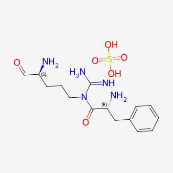 N=C(N)N(CCC[C@H](N)C=O)C(=O)[C@H](N)Cc1ccccc1.O=S(=O)(O)O